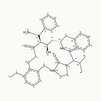 CSc1cccc(SC)c1OCC(=O)[C@@H](C(N)c1ccccc1)[C@H](O)C[C@H](Cc1ccccc1)NC(=O)C(C(C)C)N1CCNC1=O